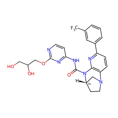 O=C(Nc1ccnc(OCC(O)CO)n1)N1c2nc(-c3cccc(C(F)(F)F)c3)ccc2N2CC[C@H]1C2